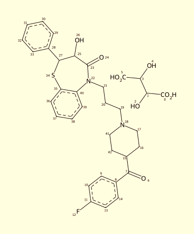 O=C(O)C(O)C(O)C(=O)O.O=C(c1ccc(F)cc1)C1CCN(CCCN2C(=O)C(O)C(c3ccccc3)Sc3ccccc32)CC1